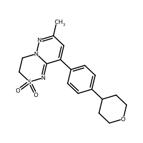 CC1=NN2CCS(=O)(=O)N=C2C(c2ccc(C3CCOCC3)cc2)=C1